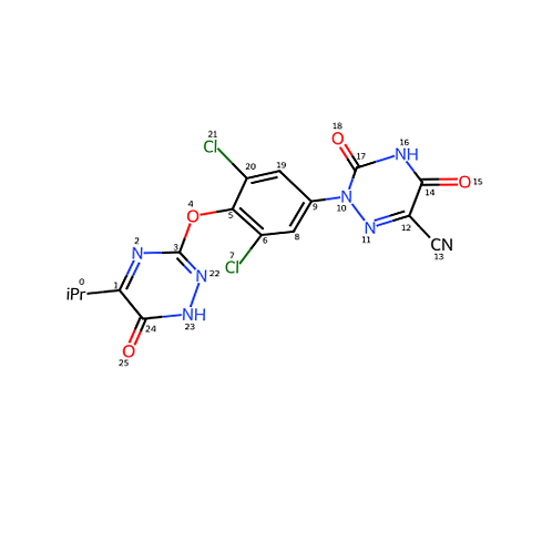 CC(C)c1nc(Oc2c(Cl)cc(-n3nc(C#N)c(=O)[nH]c3=O)cc2Cl)n[nH]c1=O